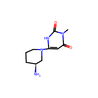 Cn1c(=O)cc(N2CCC[C@H](N)C2)[nH]c1=O